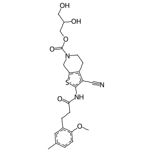 COc1ccc(C)cc1CCC(=O)Nc1sc2c(c1C#N)CCN(C(=O)OCC(O)CO)C2